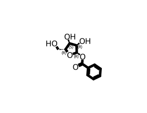 O=C(O[C@H]1O[C@H](CO)[C@@H](O)[C@H]1O)c1ccccc1